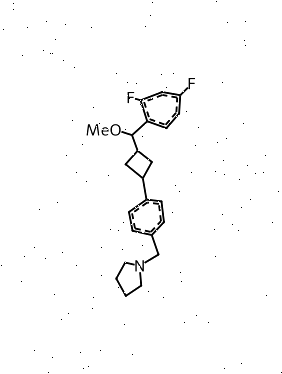 COC(c1ccc(F)cc1F)C1CC(c2ccc(CN3CCCC3)cc2)C1